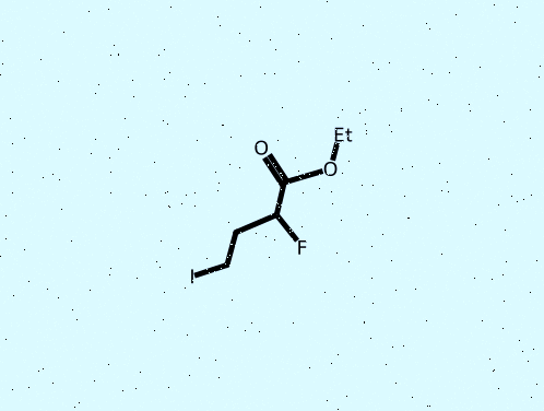 CCOC(=O)C(F)CCI